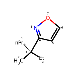 CCC[C@@](C)(CC)c1ccon1